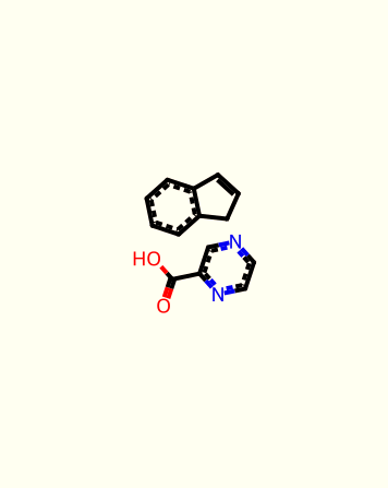 C1=Cc2ccccc2C1.O=C(O)c1cnccn1